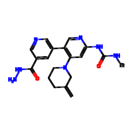 C=C1CCCN(c2cc(NC(=O)NCC)ncc2-c2cncc(C(=O)NN)c2)C1